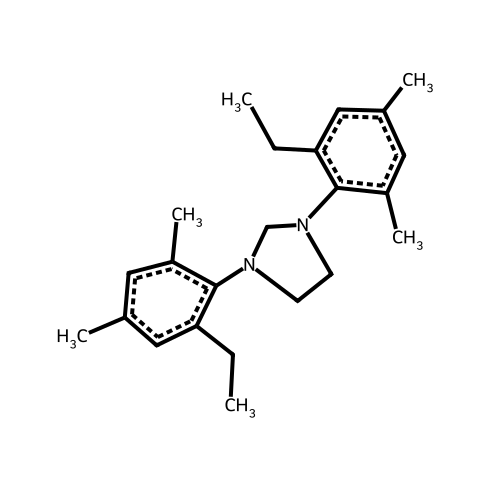 CCc1cc(C)cc(C)c1N1CCN(c2c(C)cc(C)cc2CC)C1